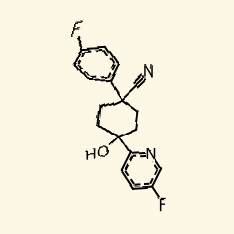 N#CC1(c2ccc(F)cc2)CCC(O)(c2ccc(F)cn2)CC1